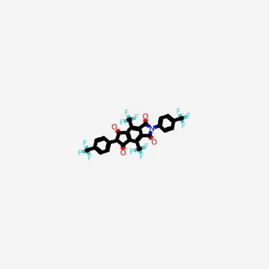 O=C1c2c(c(C(F)(F)F)c3c(c2C(F)(F)F)C(=O)N(c2ccc(C(F)(F)F)cc2)C3=O)C(=O)C1c1ccc(C(F)(F)F)cc1